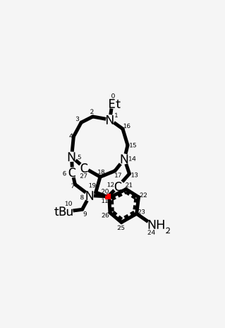 CCN1CCCN2CCN(CC(C)(C)C)CCCN(CC1)CC(Cc1ccc(N)cc1)C2